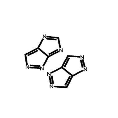 C1=C2N=NC=C2N=N1.C1=NC2=CN=NC2=N1